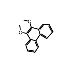 COc1c(OC)c2ccccc2c2ccccc12